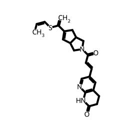 C=C(S/C=C\C)C1=CC2CN(C(=O)/C=C/c3cnc4c(c3)CCC(=O)N4)CC2C1